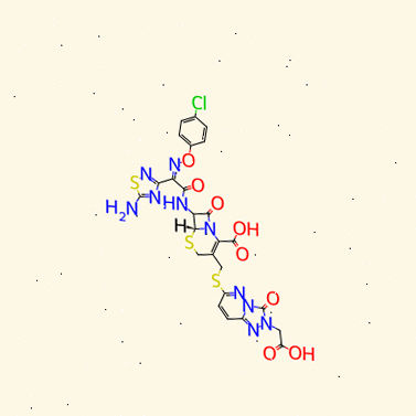 Nc1nc(/C(=N/Oc2ccc(Cl)cc2)C(=O)NC2C(=O)N3C(C(=O)O)=C(CSc4ccc5nn(CC(=O)O)c(=O)n5n4)CS[C@H]23)ns1